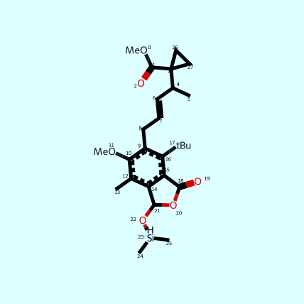 COC(=O)C1(C(C)C=CCc2c(OC)c(C)c3c(c2C(C)(C)C)C(=O)OC3O[SiH](C)C)CC1